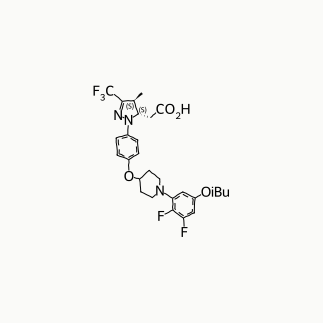 CC(C)COc1cc(F)c(F)c(N2CCC(Oc3ccc(N4N=C(C(F)(F)F)[C@@H](C)[C@@H]4CC(=O)O)cc3)CC2)c1